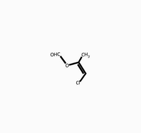 C/C(=C/Cl)OC=O